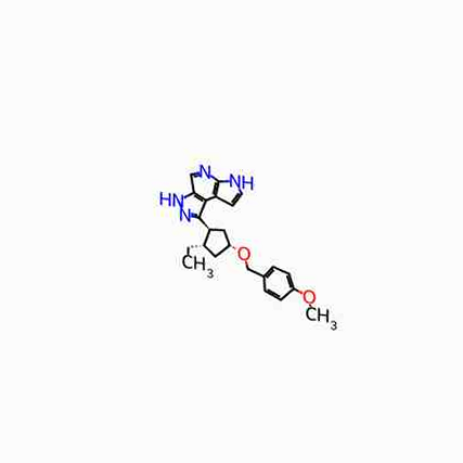 CC[C@H]1C[C@@H](OCc2ccc(OC)cc2)C[C@@H]1c1n[nH]c2cnc3[nH]ccc3c12